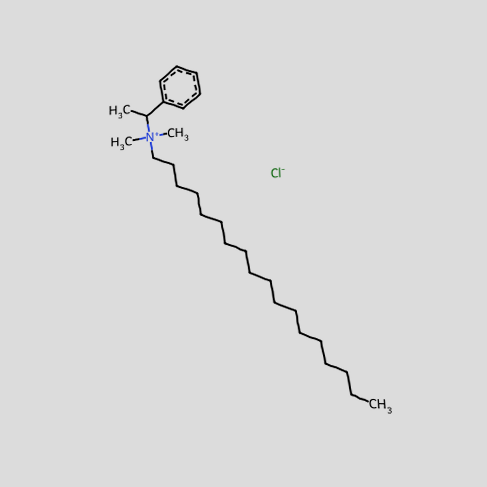 CCCCCCCCCCCCCCCCCC[N+](C)(C)C(C)c1ccccc1.[Cl-]